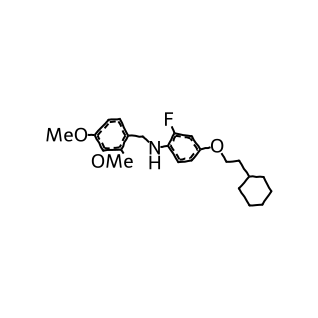 COc1ccc(CNc2ccc(OCCC3CCCCC3)cc2F)c(OC)c1